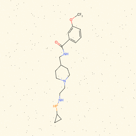 O=C(NCC1CCN(CCNPC2CC2)CC1)c1cccc(OC(F)(F)F)c1